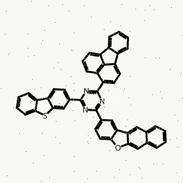 c1ccc2c(c1)-c1cccc3c(-c4nc(-c5ccc6c(c5)sc5ccccc56)nc(-c5ccc6oc7cc8ccccc8cc7c6c5)n4)ccc-2c13